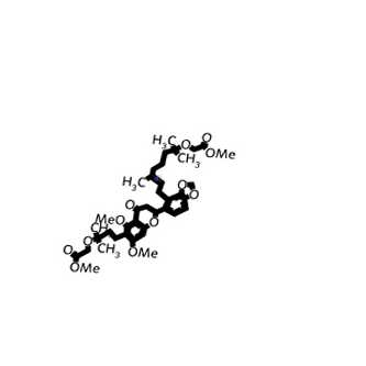 COC(=O)COC(C)(C)CCC/C(C)=C/Cc1c(C2CC(=O)c3c(cc(OC)c(CCC(C)(C)OCC(=O)OC)c3OC)O2)ccc2c1OCO2